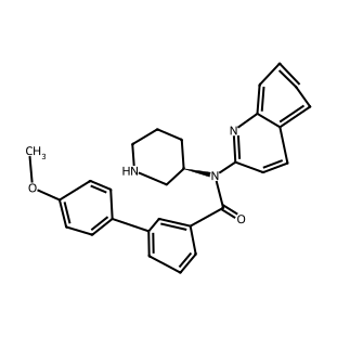 COc1ccc(-c2cccc(C(=O)N(c3ccc4ccccc4n3)[C@@H]3CCCNC3)c2)cc1